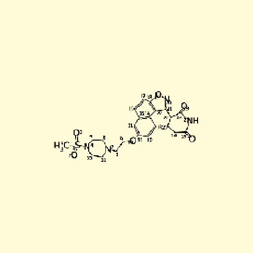 CS(=O)(=O)N1CCN(CCOc2ccc3c(ccc4onc(C5CCC(=O)NC5=O)c43)c2)CC1